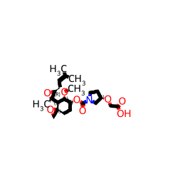 CO[C@@H]1[C@H](OC(=O)N2CC[C@H](OCC(=O)O)C2)CC[C@]2(CO2)[C@H]1[C@@]1(C)O[C@@H]1CC=C(C)C